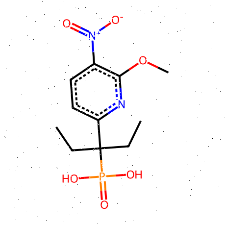 CCC(CC)(c1ccc([N+](=O)[O-])c(OC)n1)P(=O)(O)O